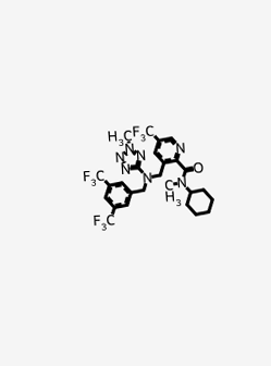 CN(C(=O)c1ncc(C(F)(F)F)cc1CN(Cc1cc(C(F)(F)F)cc(C(F)(F)F)c1)c1nnn(C)n1)C1CCCCC1